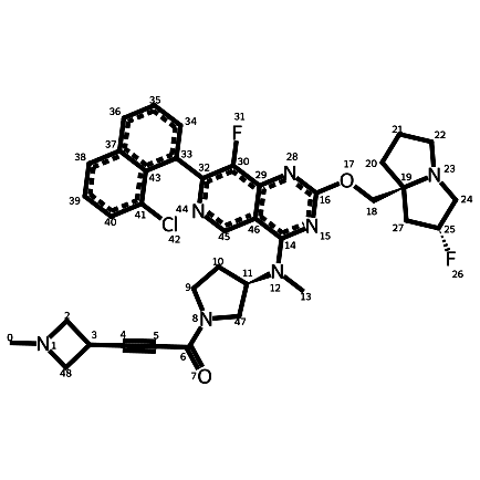 CN1CC(C#CC(=O)N2CC[C@@H](N(C)c3nc(OC[C@@]45CCCN4C[C@H](F)C5)nc4c(F)c(-c5cccc6cccc(Cl)c56)ncc34)C2)C1